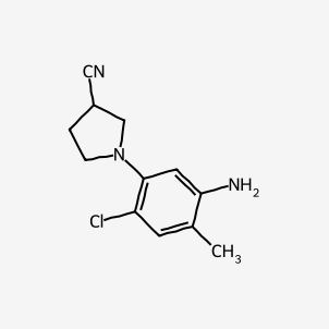 Cc1cc(Cl)c(N2CCC(C#N)C2)cc1N